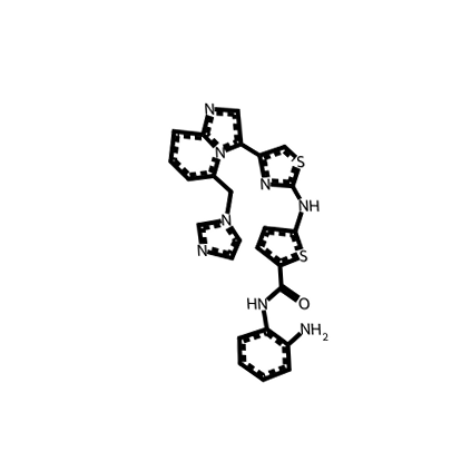 Nc1ccccc1NC(=O)c1ccc(Nc2nc(-c3cnc4cccc(Cn5ccnc5)n34)cs2)s1